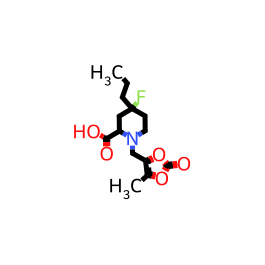 CCCC1(F)CCN(Cc2oc(=O)oc2C)C(C(=O)O)C1